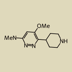 CNc1cc(OC)c(C2CCNCC2)nn1